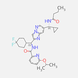 CCCC(=O)N[C@@H](c1cnn2cc([C@@H](NC(=O)c3cccc(OC(C)C)n3)C3CCC(F)(F)CC3)nc2c1)C1CC1